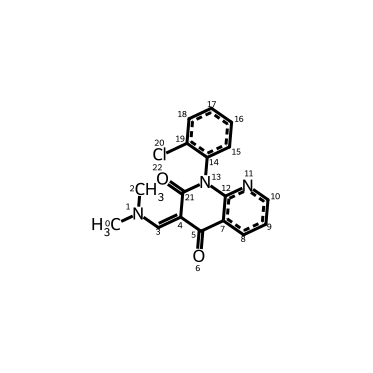 CN(C)C=C1C(=O)c2cccnc2N(c2ccccc2Cl)C1=O